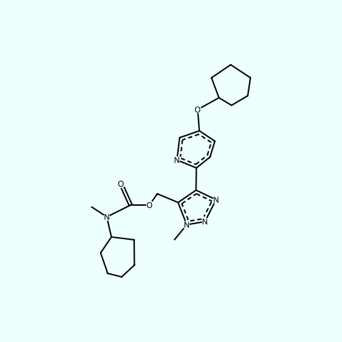 CN(C(=O)OCc1c(-c2ccc(OC3CCCCC3)cn2)nnn1C)C1CCCCC1